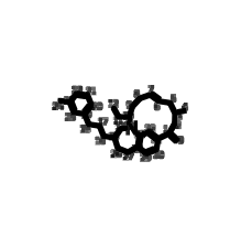 C=C1CC(C)C/C=C/CCC(CC)N2CC(CCCc3cccc(C)c3)CCc3ccc1cc32